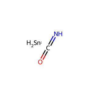 N=C=O.[SnH2]